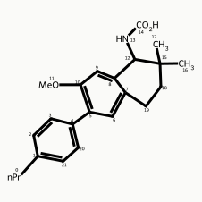 CCCc1ccc(-c2cc3c(cc2OC)C(NC(=O)O)C(C)(C)CC3)cc1